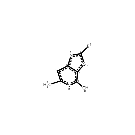 Cc1cc2nc(Br)sc2c(C)n1